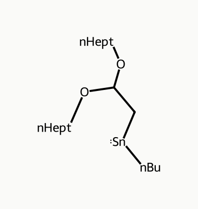 CCCCCCCOC([CH2][Sn][CH2]CCC)OCCCCCCC